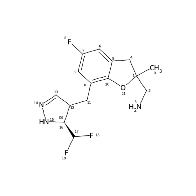 CC1(CN)Cc2cc(F)cc(CC3C=NN[C@@H]3C(F)F)c2O1